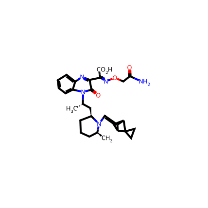 C[C@H]1CCC[C@@H](C[C@H](C)n2c(=O)c(/C(=N/OCC(N)=O)C(=O)O)nc3ccccc32)N1C=C1C2CC1C21CC1